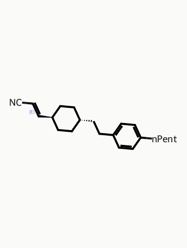 CCCCCc1ccc(CC[C@H]2CC[C@H](/C=C/C#N)CC2)cc1